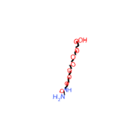 NCC(=O)NCCOCCOCCOCCOCCOCCOCCC(=O)O